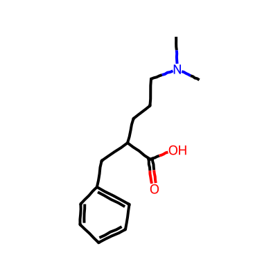 CN(C)CCCC(Cc1ccccc1)C(=O)O